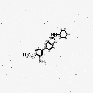 COc1ccc(-c2ccc3oc(NC4CCCCC4)nc3c2)cc1N